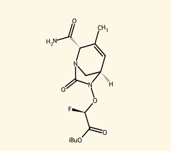 CC1=C[C@@H]2CN(C(=O)N2O[C@H](F)C(=O)OCC(C)C)[C@@H]1C(N)=O